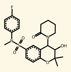 CN(c1ccc(F)cc1)S(=O)(=O)c1ccc2c(c1)C(N1CCCCC1=O)C(O)C(C)(C)O2